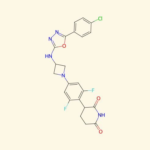 O=C1CCC(c2c(F)cc(N3CC(Nc4nnc(-c5ccc(Cl)cc5)o4)C3)cc2F)C(=O)N1